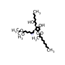 C=C(CCCCCCCC)C(=O)O[C@H]1C[C@@H](O)[C@H](CC[C@@H](O)CCCCC)[C@H]1C/C=C\CCCC(=O)OC(C)C